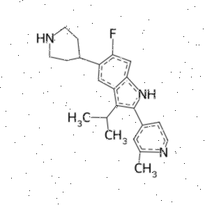 Cc1cc(-c2[nH]c3cc(F)c(C4CCNCC4)cc3c2C(C)C)ccn1